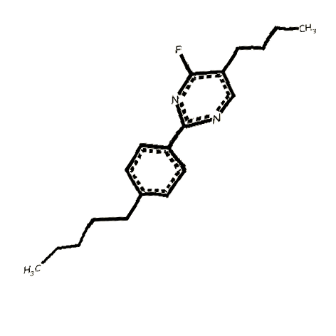 CCCCCc1ccc(-c2ncc(CCCC)c(F)n2)cc1